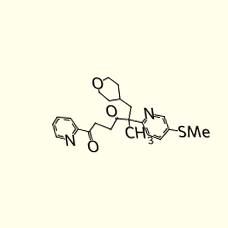 CSc1ccc(C(C)(CC2CCOCC2)C(=O)CCC(=O)c2ccccn2)nc1